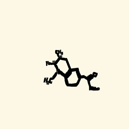 CNC(=O)c1ccc2c(c1)C[C@@H](C)[C@H](F)N2C